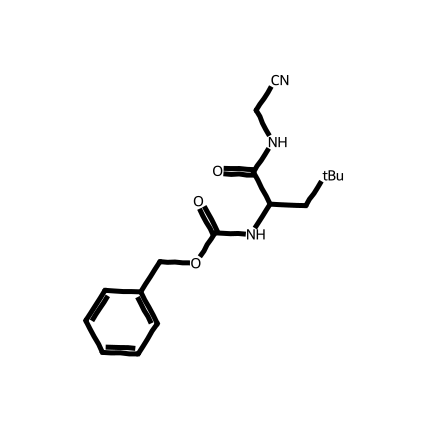 CC(C)(C)CC(NC(=O)OCc1ccccc1)C(=O)NCC#N